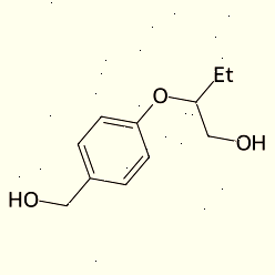 CCC(CO)Oc1ccc(CO)cc1